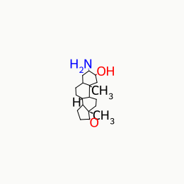 C[C@]12C[C@H](O)[C@@H](N)CC1CC[C@@H]1C2CC[C@]2(C)C(=O)CCC12